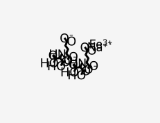 O=C([O-])CCC(NC(C(=O)O)C(=O)O)C(=O)[O-].O=C([O-])CCC(NC(C(=O)O)C(=O)O)C(=O)[O-].[Fe+3].[Na+]